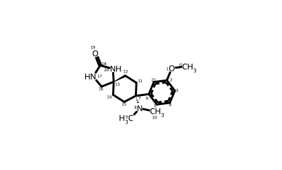 COc1cccc([C@]2(N(C)C)CC[C@@]3(CC2)CNC(=O)N3)c1